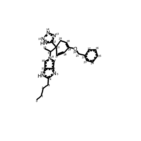 CCCCc1nc2cn(C(C)C3(c4nnn[nH]4)C=CC(OCc4ccccc4)=CC3)cc2[nH]1